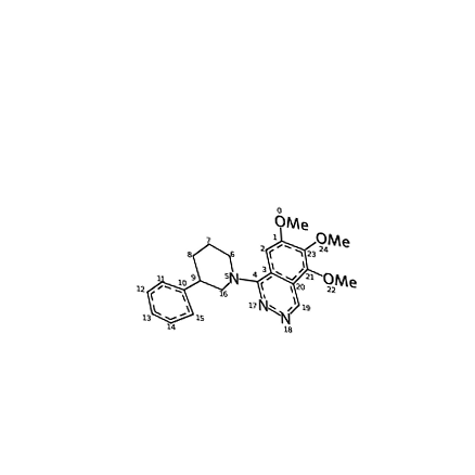 COc1cc2c(N3CCCC(c4ccccc4)C3)nncc2c(OC)c1OC